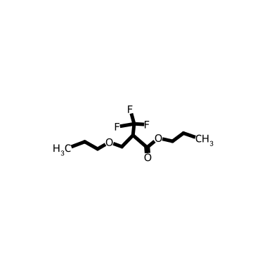 CCCOCC(C(=O)OCCC)C(F)(F)F